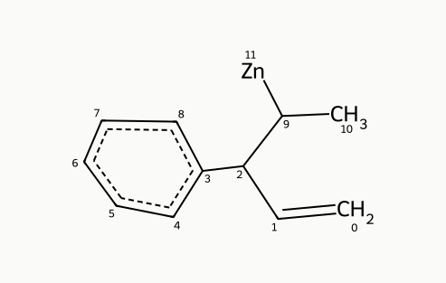 C=CC(c1ccccc1)[CH](C)[Zn]